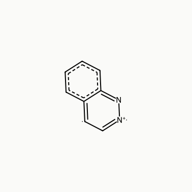 [C]1=c2ccccc2=N[N+]=C1